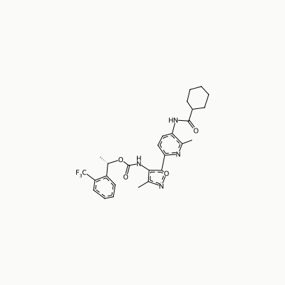 Cc1nc(-c2onc(C)c2NC(=O)O[C@@H](C)c2ccccc2C(F)(F)F)ccc1NC(=O)C1CCCCC1